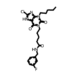 CCCCCn1c(=O)n(CCCCC(=O)NCc2cccc(F)c2)c(=O)c2[nH]c(Cl)nc21